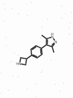 Cc1n[nH]c(C)c1-c1ccc(C2CNC2)cc1